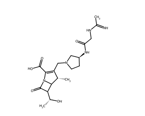 CC(=N)NCC(=O)N[C@H]1CCN(CC2=C(C(=O)O)N3C(=O)C([C@@H](C)O)C3[C@H]2C)C1